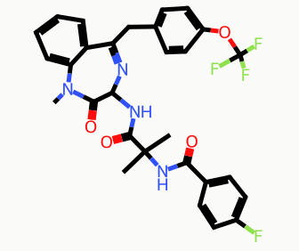 CN1C(=O)C(NC(=O)C(C)(C)NC(=O)c2ccc(F)cc2)N=C(Cc2ccc(OC(F)(F)F)cc2)c2ccccc21